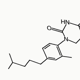 C=C1CCN(c2ccc(CCCC(C)C)cc2C)C(=O)N1